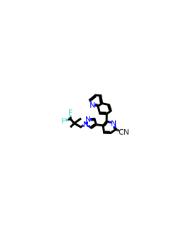 CC(C)(Cn1cc(-c2ccc(C#N)nc2-c2ccc3cccnc3c2)cn1)C(F)F